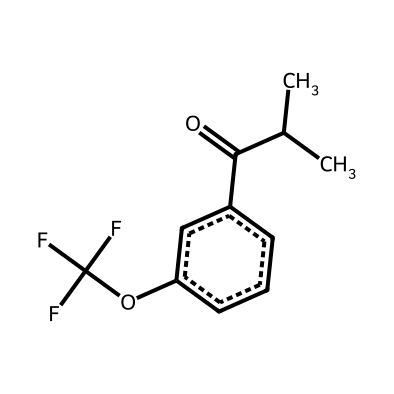 CC(C)C(=O)c1cccc(OC(F)(F)F)c1